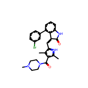 Cc1[nH]c(C=C2C(=O)Nc3cccc(-c4cccc(Br)c4)c32)c(C)c1C(=O)N1CCN(C)CC1